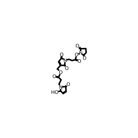 O=C(CCN1C(=O)C=CC1O)OCC1=CC(=O)N(CCC(=O)ON2C(=O)CCC2=O)C1=O